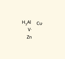 [AlH3].[Cu].[V].[Zn]